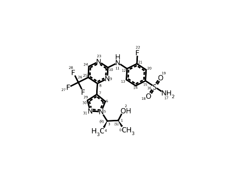 C[C@H](O)[C@@H](C)n1cc(-c2nc(Nc3ccc(S(N)(=O)=O)cc3F)ncc2C(F)(F)F)cn1